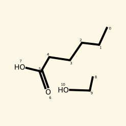 CCCCCC(=O)O.CCO